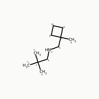 CC(C)(C)CNCC1(C)CCC1